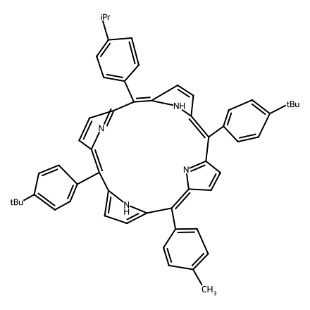 Cc1ccc(-c2c3nc(c(-c4ccc(C(C)(C)C)cc4)c4ccc([nH]4)c(-c4ccc(C(C)C)cc4)c4nc(c(-c5ccc(C(C)(C)C)cc5)c5ccc2[nH]5)C=C4)C=C3)cc1